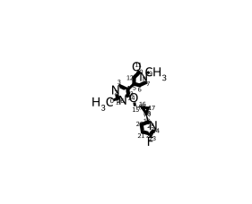 Cc1ncc(-c2ccn(C)c(=O)c2)c(OC[C@@H]2C[C@H]2c2ccc(F)cn2)n1